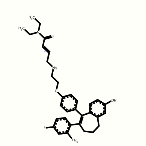 CCN(CC)C(=O)/C=C/CNCCOc1ccc(C2=C(c3ccc(F)cc3C)CCCc3cc(O)ccc32)cc1